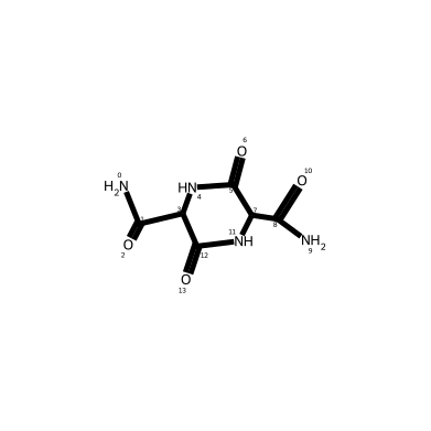 NC(=O)C1NC(=O)C(C(N)=O)NC1=O